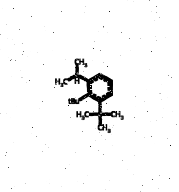 C[SH](C)c1cccc(S(C)(C)C)c1C(C)(C)C